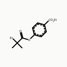 CCOC(=O)c1ccc(OC(=O)C(C)(C)CC)cc1